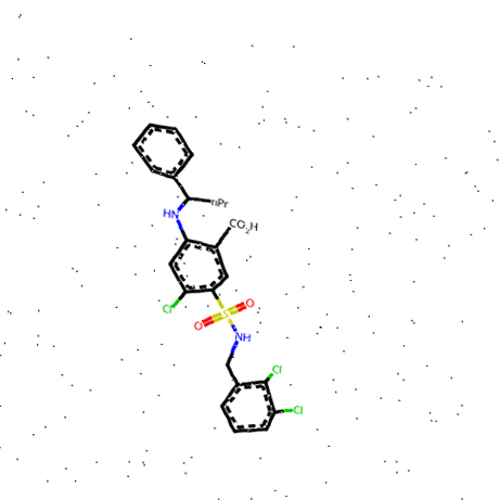 CCCC(Nc1cc(Cl)c(S(=O)(=O)NCc2cccc(Cl)c2Cl)cc1C(=O)O)c1ccccc1